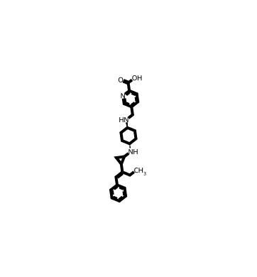 CC/C(=C\c1ccccc1)C1CC1N[C@H]1CC[C@H](NCc2ccc(C(=O)O)nc2)CC1